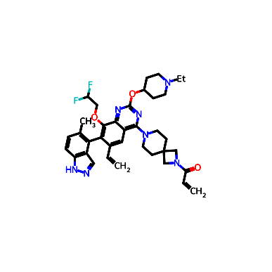 C=CC(=O)N1CC2(CCN(c3nc(OC4CCN(CC)CC4)nc4c(OCC(F)F)c(-c5c(C)ccc6[nH]ncc56)c(C=C)cc34)CC2)C1